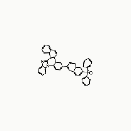 O=P(c1ccccc1)(c1ccccc1)c1ccc2cc(-c3ccc4c(c3)c3ccc5ccccc5c3c3nc5ccccc5n43)ccc2c1